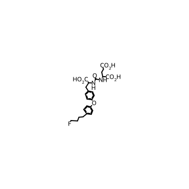 O=C(O)CCC(NC(=O)NC(Cc1ccc(Oc2ccc(CCCCF)cc2)cc1)C(=O)O)C(=O)O